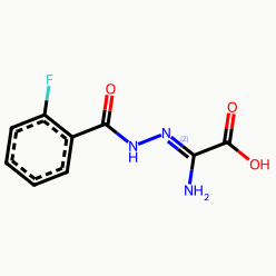 N/C(=N\NC(=O)c1ccccc1F)C(=O)O